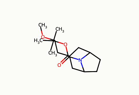 COCCC1CC2CCC(C1)N2C(=O)OC(C)(C)C